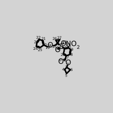 O=C(OC1CCC1)c1ccc([N+](=O)[O-])c(S(=O)(=O)C2(COCc3ccccc3)CC2)c1